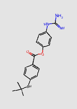 CC(C)(C)Bc1ccc(C(=O)Oc2ccc(NC(=N)N)cc2)cc1